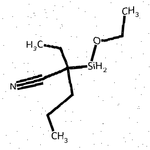 CCCC(C#N)(CC)[SiH2]OCC